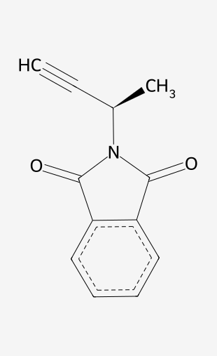 C#C[C@@H](C)N1C(=O)c2ccccc2C1=O